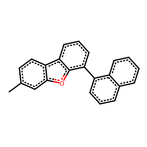 Cc1ccc2c(c1)oc1c(-c3cccc4ccccc34)cccc12